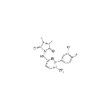 CC1=C(C)C(=O)N(Nc2ccc(C(F)(F)F)c(-c3ccc(F)c(Cl)c3)n2)C1=O